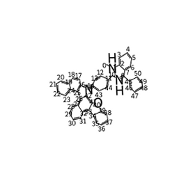 CNc1ccccc1C(NCc1ccc(-n2c3ccc4ccccc4c3c3c4ccccc4c4c5ccccc5oc4c32)cc1)c1ccccc1